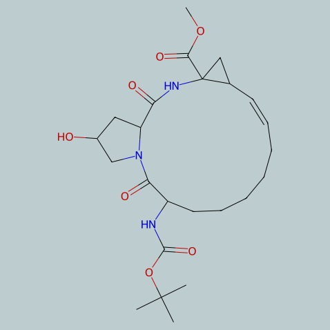 COC(=O)C12CC1C=CCCCCCC(NC(=O)OC(C)(C)C)C(=O)N1CC(O)CC1C(=O)N2